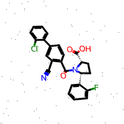 N#Cc1cc(-c2ccccc2Cl)ccc1C(=O)N1[C@@H](c2ccccc2F)CC[C@H]1C(=O)O